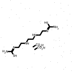 CC(=O)O.CC(=O)O.NC(S)=NCCNCCNCCN=C(N)S